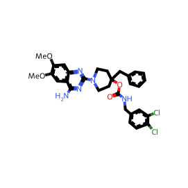 COc1cc2nc(N3CCC(Cc4ccccc4)(OC(=O)NCc4ccc(Cl)c(Cl)c4)CC3)nc(N)c2cc1OC